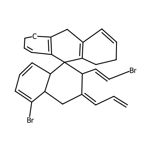 C=C/C=C1/CC2C(Br)=CC=CC2C2(C3=C(CCC=C3)CC3=C2CCC=C3)C1C=CBr